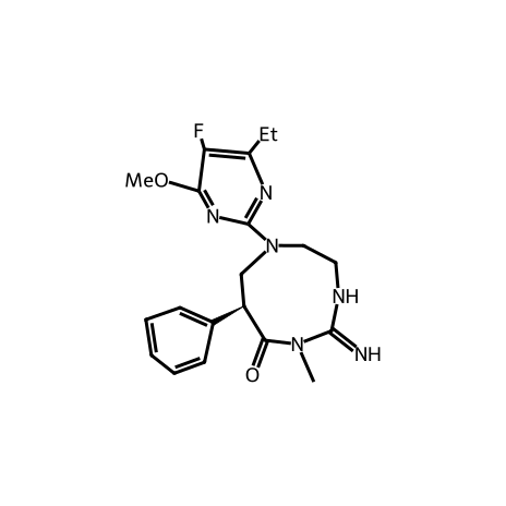 CCc1nc(N2CCNC(=N)N(C)C(=O)[C@@H](c3ccccc3)C2)nc(OC)c1F